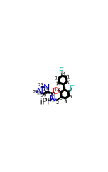 CC(C)N(Cc1ccc(F)c(-c2ccc(F)cc2)c1)C(=O)c1cn(C)cn1